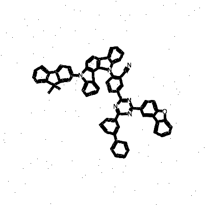 CC1(C)c2ccccc2-c2ccc(-n3c4ccccc4c4c3ccc3c5ccccc5n(-c5ccc(-c6nc(-c7cccc(-c8ccccc8)c7)nc(-c7ccc8oc9ccccc9c8c7)n6)cc5C#N)c34)cc21